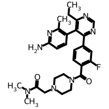 CCc1ncnc(-c2ccc(C(=O)N3CCN(CC(=O)N(C)C)CC3)c(F)c2)c1-c1ccc(N)nc1C